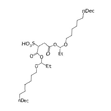 CCCCCCCCCCCCCCCCOC(CC)OC(=O)CC(C(=O)OC(CC)OCCCCCCCCCCCCCCCC)S(=O)(=O)O